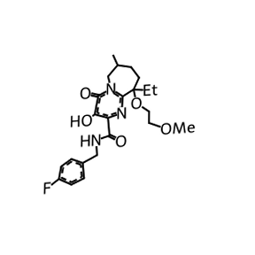 CCC1(OCCOC)CCC(C)Cn2c1nc(C(=O)NCc1ccc(F)cc1)c(O)c2=O